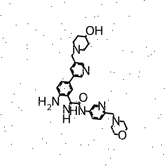 N=C(C(=O)Nc1ccc(CN2CCOCC2)nc1)c1cc(-c2cncc(CN3CCC(O)CC3)c2)ccc1N